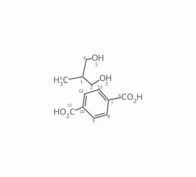 CC(CO)CO.O=C(O)c1ccc(C(=O)O)cc1